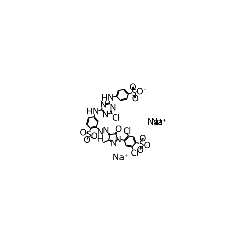 CC1=NN(c2cc(Cl)c(S(=O)(=O)[O-])cc2Cl)C(=O)/C1=N/Nc1cc(Nc2nc(Cl)nc(Nc3ccc(S(=O)(=O)[O-])cc3)n2)ccc1S(=O)(=O)[O-].[Na+].[Na+].[Na+]